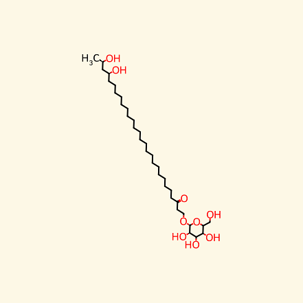 C[C@@H](O)C[C@@H](O)CCCCCCCCCCCCCCCCCCCCCC(=O)CCO[C@H]1OC(CO)[C@@H](O)C(O)[C@H]1O